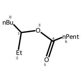 [CH2]CCCC(CC)OC(=O)CCCCC